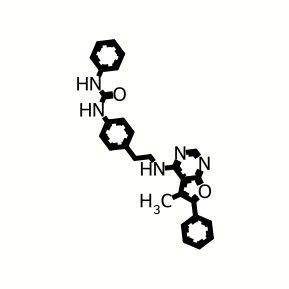 Cc1c(-c2ccccc2)oc2ncnc(NCCc3ccc(NC(=O)Nc4ccccc4)cc3)c12